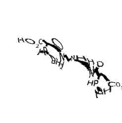 BP(I)C(CC(=O)O)C(=O)NCCNCCNC(=O)C(CC(=O)O)PBI